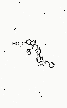 O=C(O)c1ccc2nc(CN3CCN(c4ccc5cnn(Cc6ccccc6)c5n4)CC3)n(CC3CCO3)c2c1